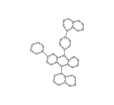 c1ccc(-c2ccc3c(-c4cccc5ccccc45)c4ccccc4c(-c4ccc(-c5cccc6ccccc56)cc4)c3c2)cc1